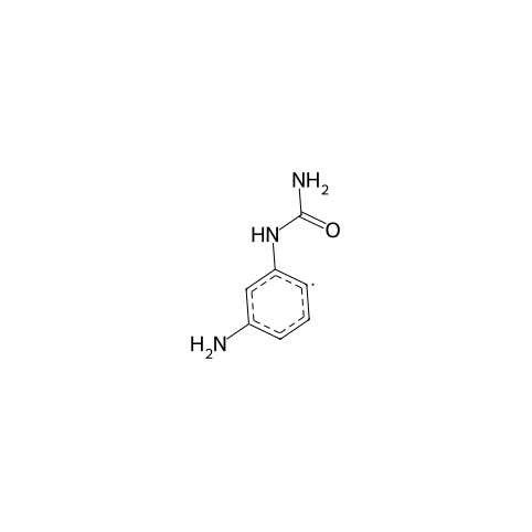 NC(=O)Nc1[c]ccc(N)c1